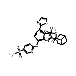 CC(C)(C)OC(=O)N1C2CC1CN(c1nc3c(Oc4ccc(S(C)(=O)=O)cn4)ccc(-c4nccs4)c3o1)C2